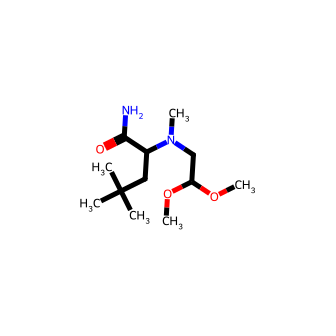 COC(CN(C)C(CC(C)(C)C)C(N)=O)OC